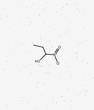 CC[C](O)[N+](=O)[O-]